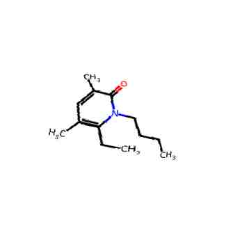 CCCCn1c(CC)c(C)cc(C)c1=O